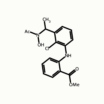 COC(=O)c1ccccc1Nc1cccc(C(C)N(O)C(C)=O)c1Cl